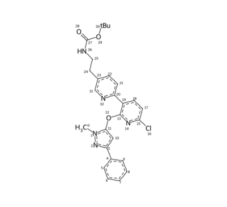 Cn1nc(-c2ccccc2)cc1Oc1nc(Cl)ccc1-c1ccc(CCNC(=O)OC(C)(C)C)cn1